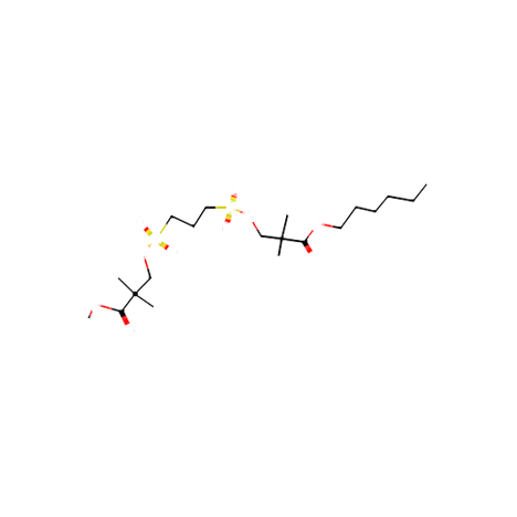 CCCCCCOC(=O)C(C)(C)COS(=O)(=O)CCCS(=O)(=O)OCC(C)(C)C(=O)OC